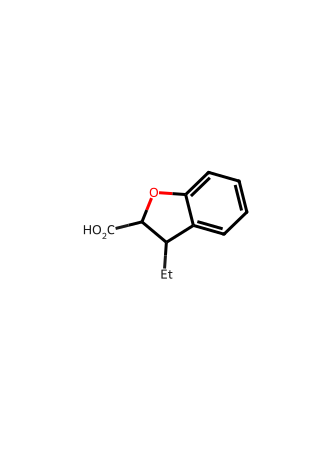 CCC1c2ccccc2OC1C(=O)O